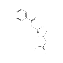 CCCOC(=O)CC1COC(CC(=O)c2ccccc2)=N1